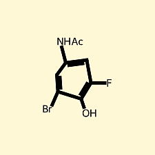 CC(=O)Nc1cc(F)c(O)c(Br)c1